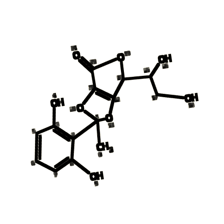 CC1(c2c(O)cccc2O)OC2=C(O1)C(C(O)CO)OC2=O